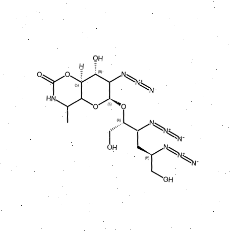 CC1NC(=O)O[C@@H]2C1O[C@H](O[C@@H](CO)C(C[C@H](CO)N=[N+]=[N-])N=[N+]=[N-])C(N=[N+]=[N-])[C@H]2O